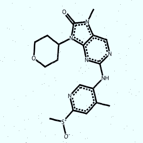 Cc1cc([S+](C)[O-])ncc1Nc1ncc2c(n1)n(C1CCOCC1)c(=O)n2C